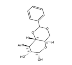 CC(=O)O[C@@H]1[C@@H](O)[C@@H](O)O[C@@H]2COC(c3ccccc3)O[C@@H]12